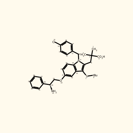 CC(C)(C)Sc1c(CC(C)(C)C(=O)O)n(Cc2ccc(Cl)cc2)c2ccc(OC[C@@H](N)c3ccccc3)cc12